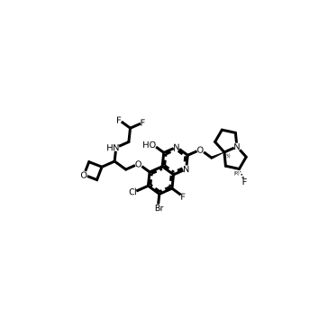 Oc1nc(OC[C@@]23CCCN2C[C@H](F)C3)nc2c(F)c(Br)c(Cl)c(OCC(NCC(F)F)C3COC3)c12